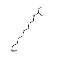 CCCCCCCCCCCCCSSCCNC(O)CCC